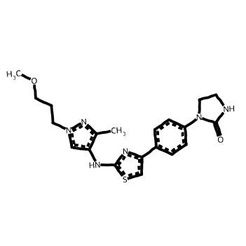 COCCCn1cc(Nc2nc(-c3ccc(N4CCNC4=O)cc3)cs2)c(C)n1